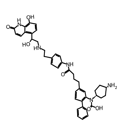 N[C@H]1CC[C@H](N(C(=O)O)c2cc(CCCC(=O)Nc3ccc(CCNCC(O)c4ccc(O)c5[nH]c(=O)ccc45)cc3)ccc2-c2ccccc2)CC1